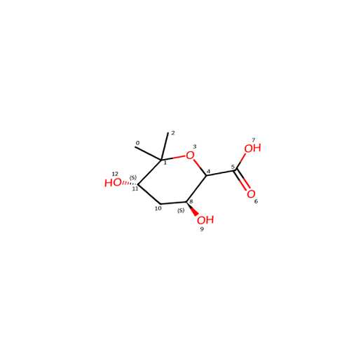 CC1(C)OC(C(=O)O)[C@@H](O)C[C@@H]1O